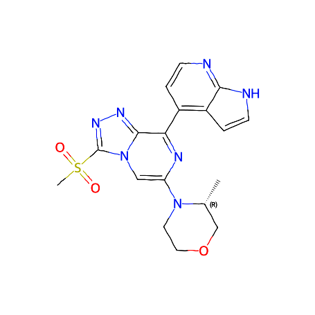 C[C@@H]1COCCN1c1cn2c(S(C)(=O)=O)nnc2c(-c2ccnc3[nH]ccc23)n1